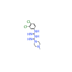 CN1CCN(C(=N)NC(=N)Nc2ccc(Cl)c(Cl)c2)CC1